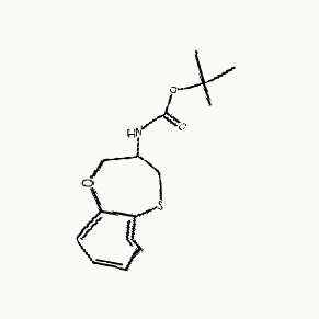 CC(C)(C)OC(=O)NC1COc2ccccc2SC1